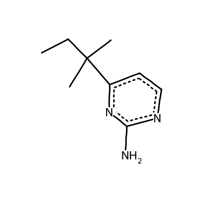 CCC(C)(C)c1ccnc(N)n1